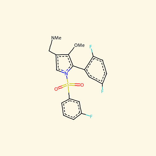 CNCc1cn(S(=O)(=O)c2cccc(F)c2)c(-c2cc(F)ccc2F)c1OC